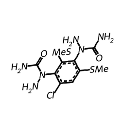 CSc1cc(Cl)c(N(N)C(N)=O)c(SC)c1N(N)C(N)=O